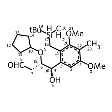 COc1cc([C@@H](O)[C@H](CC=O)OC2CCCC2)c(C[SiH](C)C(C)(C)C)c(OC)c1C